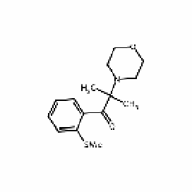 CSc1ccccc1C(=O)C(C)(C)N1CCOCC1